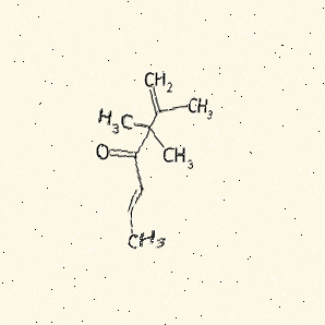 C=C(C)C(C)(C)C(=O)/C=C/C